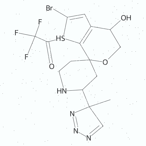 CC1(C2CC3(CCN2)OCC(O)C2=C3[SH](C(=O)C(F)(F)F)C(Br)=C2)C=NN=N1